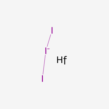 I[I-]I.[Hf]